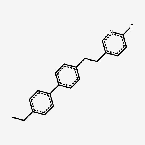 CCc1ccc(-c2ccc(CCc3ccc(F)nc3)cc2)cc1